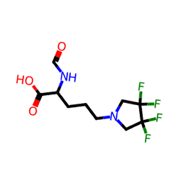 O=CNC(CCCN1CC(F)(F)C(F)(F)C1)C(=O)O